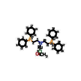 C=O.[Cl][Ru][N](CCP(c1ccccc1)c1ccccc1)CCP(c1ccccc1)c1ccccc1